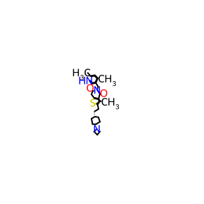 Cc1cc(C)c(CN2CCc3sc(CC[C@H]4CC[C@H](N5CCC5)CC4)c(C)c3C2=O)c(=O)[nH]1